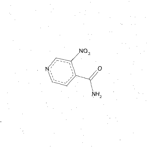 NC(=O)c1ccncc1[N+](=O)[O-]